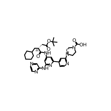 CC(C)(C)OC(=O)C[C@@H](CC1CCCCC1)C(=O)Nc1cc(Nc2cnccn2)nc(-c2ccnc(N3CCN(C(=O)O)CC3)c2)c1